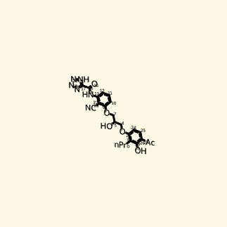 CCCc1c(OCC(O)COc2cccc(NC(=O)c3nnn[nH]3)c2C#N)ccc(C(C)=O)c1O